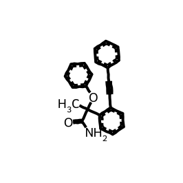 CC(Oc1ccccc1)(C(N)=O)c1ccccc1C#Cc1ccccc1